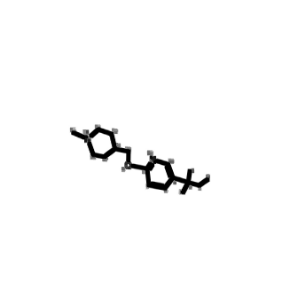 CCC(C)(C)c1ccc(OCC2CCN(C)CC2)nc1